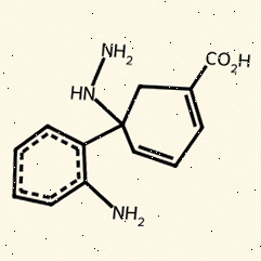 NNC1(c2ccccc2N)C=CC=C(C(=O)O)C1